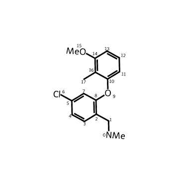 CNCc1ccc(Cl)cc1Oc1cccc(OC)c1C